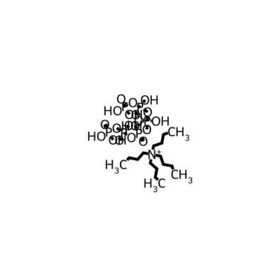 CCCC[N+](CCCC)(CCCC)CCCC.O=P(O)(O)OP(=O)(O)OP(=O)(O)OP(=O)(O)OP(=O)(O)OP(=O)(O)O